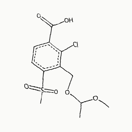 COC(C)OCc1c(S(C)(=O)=O)ccc(C(=O)O)c1Cl